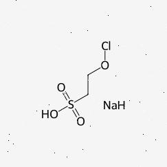 O=S(=O)(O)CCOCl.[NaH]